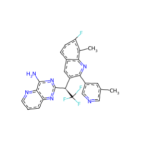 Cc1cncc(-c2nc3c(C)c(F)ccc3cc2[C@H](c2nc(N)c3ncccc3n2)C(F)(F)F)c1